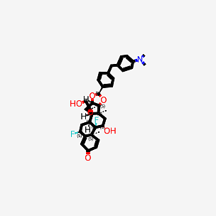 CN(C)c1ccc(Cc2ccc([C@@H]3O[C@@H]4C[C@H]5[C@@H]6C[C@H](F)C7=CC(=O)C=C[C@]7(C)[C@@]6(F)[C@@H](O)C[C@]5(C)[C@]4(C(=O)CO)O3)cc2)cc1